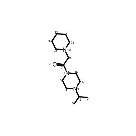 CC(C)N1CCN(C(=O)CN2CCCCC2)CC1